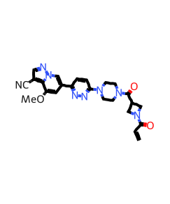 C=CC(=O)N1CC(C(=O)N2CCN(c3ccc(-c4cc(OC)c5c(C#N)cnn5c4)nn3)CC2)C1